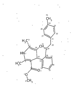 COC(=O)C1=C(C)NC(C)=C(C)C1c1ccccc1SCc1ccc(C)cc1